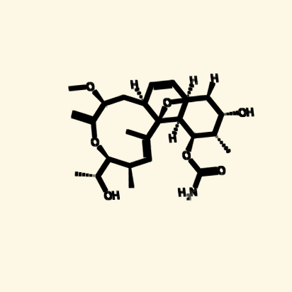 C=C1O[C@H]([C@@H](C)O)[C@H](C)/C=C(\C)[C@@]23O[C@H]4[C@H](O)[C@H](C)[C@@H](OC(N)=O)[C@@H]2[C@H]4C=C[C@@H]3C[C@@H]1OC